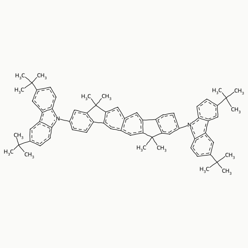 CC(C)(C)c1ccc2c(c1)c1cc(C(C)(C)C)ccc1n2-c1ccc2c(c1)C(C)(C)c1cc3cc4c(cc3cc1-2)C(C)(C)c1cc(-n2c3ccc(C(C)(C)C)cc3c3cc(C(C)(C)C)ccc32)ccc1-4